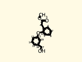 COC(=O)Cc1ccccc1Oc1cccc(CO)c1